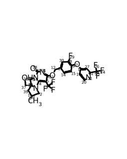 C[C@H]1CN2c3c(C(F)(F)F)c(OCc4ccc(Oc5ccnc(C(F)(F)F)c5)c(F)c4)nc(=O)n3C[C@@]2(CO)C1